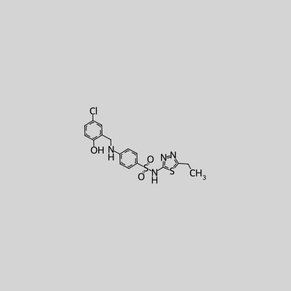 CCc1nnc(NS(=O)(=O)c2ccc(NCc3cc(Cl)ccc3O)cc2)s1